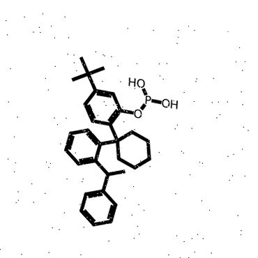 CC(c1ccccc1)c1ccccc1C1(c2ccc(C(C)(C)C)cc2OP(O)O)CCCCC1